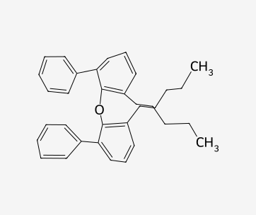 CCCCCc1cccc(-c2ccccc2)c1Oc1c(CCCCC)cccc1-c1ccccc1